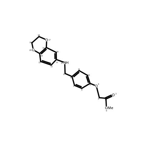 COC(=O)COc1ccc(CNc2ccc3c(c2)OCCO3)cc1